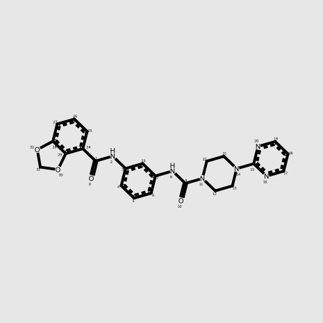 O=C(Nc1cccc(NC(=O)N2CCN(c3ncccn3)CC2)c1)c1cccc2c1OCO2